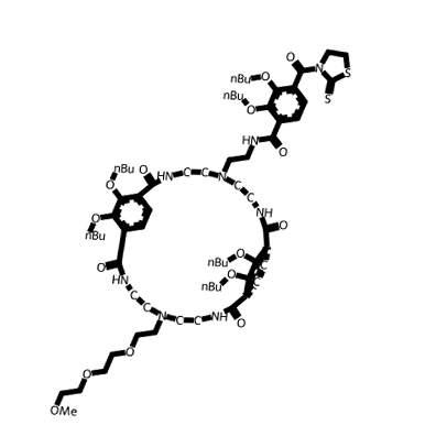 CCCCOc1c2ccc(c1OCCCC)C(=O)NCCN(CCOCCOCCOC)CCNC(=O)c1ccc(c(OCCCC)c1OCCCC)C(=O)NCCN(CCNC(=O)c1ccc(C(=O)N3CCSC3=S)c(OCCCC)c1OCCCC)CCNC2=O